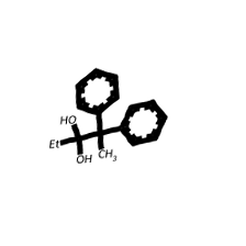 CCC(O)(O)C(C)(c1ccccc1)c1ccccc1